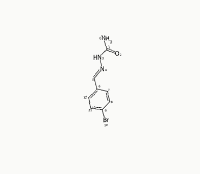 NC(=O)NN=Cc1ccc(Br)cc1